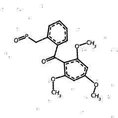 COc1cc(OC)c(C(=O)c2ccccc2CP=O)c(OC)c1